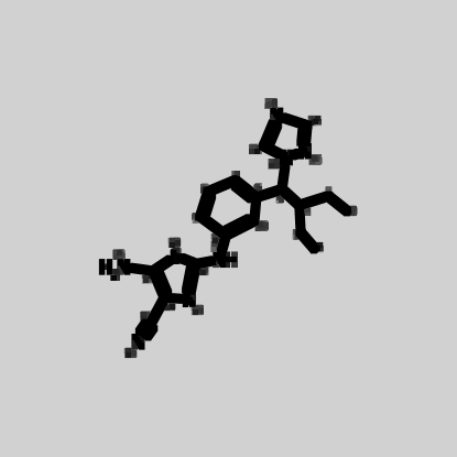 CCC(CC)C(c1cccc(Nc2nc(C#N)c(N)s2)c1)n1cncn1